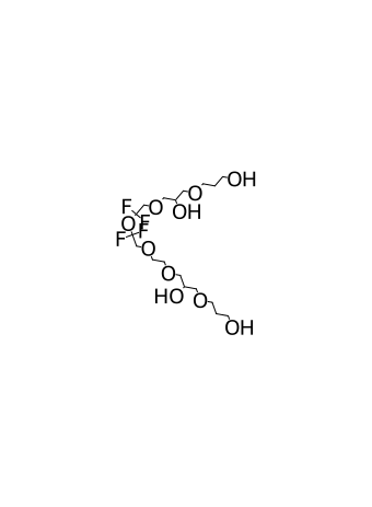 OCCCOCC(O)COCCOCC(F)(F)OC(F)(F)COCC(O)COCCCO